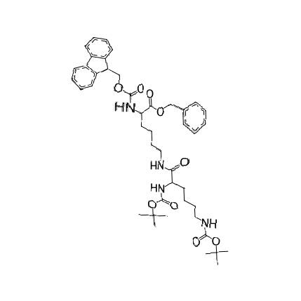 CC(C)(C)OC(=O)NCCCCC(NC(=O)OC(C)(C)C)C(=O)NCCCCC(NC(=O)OCC1c2ccccc2-c2ccccc21)C(=O)OCc1ccccc1